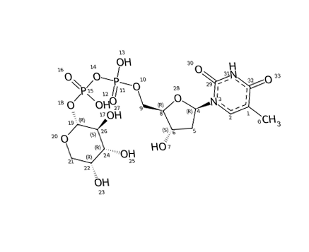 Cc1cn([C@H]2C[C@H](O)[C@@H](COP(=O)(O)OP(=O)(O)O[C@H]3OC[C@@H](O)[C@@H](O)[C@@H]3O)O2)c(=O)[nH]c1=O